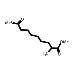 COC(=O)C(C)CCCCCCC(=O)SC